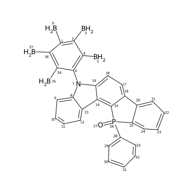 Bc1c(B)c(B)c(-n2c3ccccc3c3c4c(ccc32)-c2ccccc2P4(=O)c2ccccc2)c(B)c1B